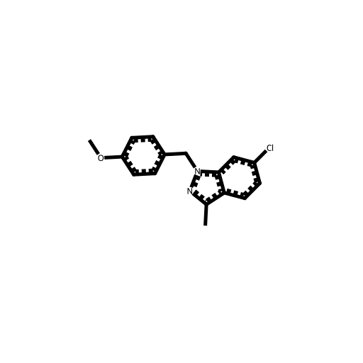 COc1ccc(Cn2nc(C)c3ccc(Cl)cc32)cc1